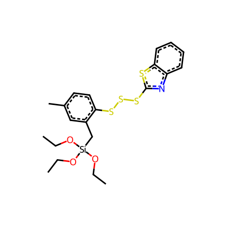 CCO[Si](Cc1cc(C)ccc1SSSc1nc2ccccc2s1)(OCC)OCC